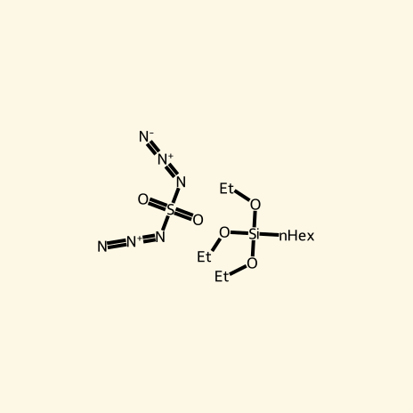 CCCCCC[Si](OCC)(OCC)OCC.[N-]=[N+]=NS(=O)(=O)N=[N+]=[N-]